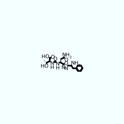 C[C@@H](O)[C@H](NC(=O)N[C@@H](CC(N)=O)c1nnc([C@@H](N)Cc2ccccc2)o1)C(=O)O